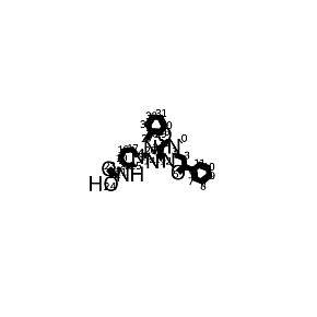 Cn1c(CC(=O)c2ccccc2)nc2nc(N3CCCC(NC(=O)O)C3)n(Cc3ccccc3)c2c1=O